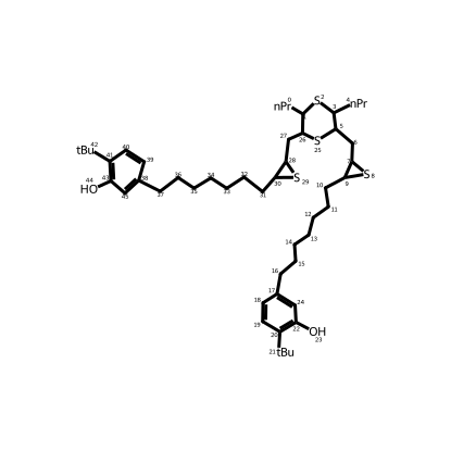 CCCC1SC(CCC)C(CC2SC2CCCCCCCc2ccc(C(C)(C)C)c(O)c2)SC1CC1SC1CCCCCCCc1ccc(C(C)(C)C)c(O)c1